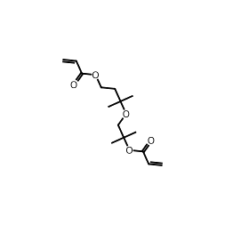 C=CC(=O)OCCC(C)(C)OCC(C)(C)OC(=O)C=C